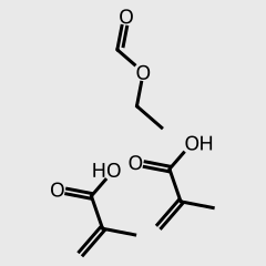 C=C(C)C(=O)O.C=C(C)C(=O)O.CCOC=O